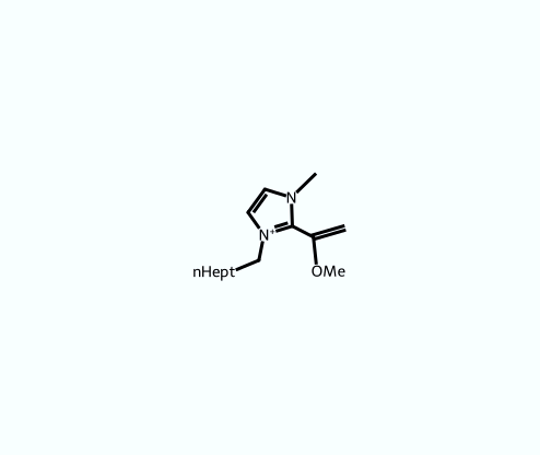 C=C(OC)c1n(C)cc[n+]1CCCCCCCC